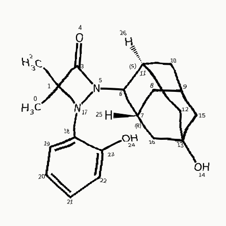 CC1(C)C(=O)N(C2[C@@H]3CC4C[C@H]2CC(O)(C4)C3)N1c1ccccc1O